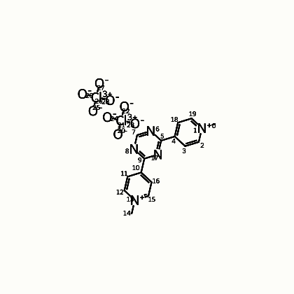 C[n+]1ccc(-c2ncnc(-c3cc[n+](C)cc3)n2)cc1.[O-][Cl+3]([O-])([O-])[O-].[O-][Cl+3]([O-])([O-])[O-]